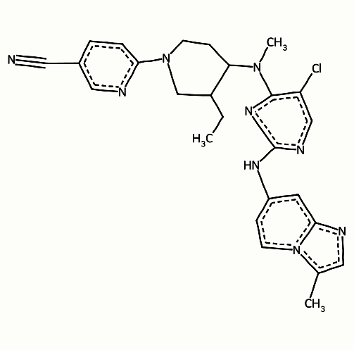 CCC1CN(c2ccc(C#N)cn2)CCC1N(C)c1nc(Nc2ccn3c(C)cnc3c2)ncc1Cl